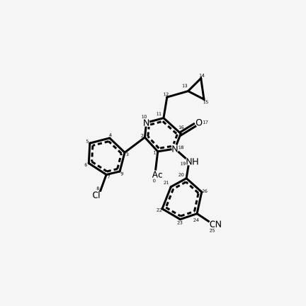 CC(=O)c1c(-c2cccc(Cl)c2)nc(CC2CC2)c(=O)n1Nc1cccc(C#N)c1